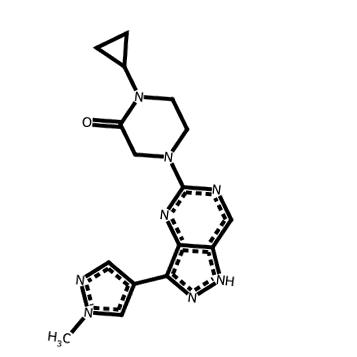 Cn1cc(-c2n[nH]c3cnc(N4CCN(C5CC5)C(=O)C4)nc23)cn1